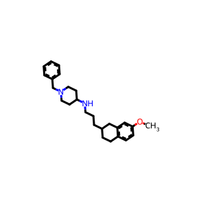 COc1ccc2c(c1)CC(CCCNC1CCN(Cc3ccccc3)CC1)CC2